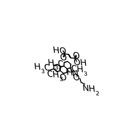 CC(C)c1ccc2c(c1)C(=O)C[C@H]1[C@](C)(/C=N/OCCCN)CCC[C@]21C.O=C(O)/C=C/C(=O)O